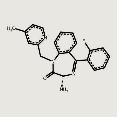 Cc1ccnc(CN2C(=O)[C@@H](N)N=C(c3ccccc3F)c3ccccc32)c1